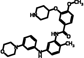 COc1ccc(C(=O)Nc2cc(Nc3cccc(N4CCOCC4)c3)ccc2C)cc1OC1CCNCC1